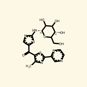 Cc1nc(-c2cnccn2)sc1C(=O)c1cnc(N[C@H]2OC(CO)[C@@H](O)C(O)C2O)s1